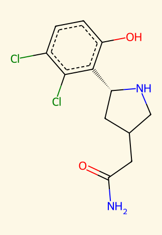 NC(=O)CC1CN[C@@H](c2c(O)ccc(Cl)c2Cl)C1